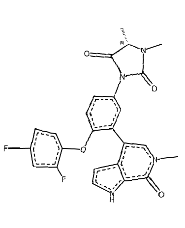 C[C@H]1C(=O)N(c2ccc(Oc3ccc(F)cc3F)c(-c3cn(C)c(=O)c4[nH]ccc34)c2)C(=O)N1C